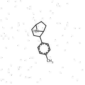 Cc1ccc(C2CCC3CCC2N3)cc1